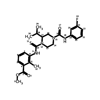 COC(=O)c1cccc(NC(=S)N2CCN(C(=O)Nc3cccc(F)c3)CC2C(C)C)c1C